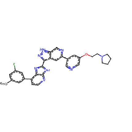 COc1cc(F)cc(-c2ccnc3[nH]c(-c4n[nH]c5cnc(-c6cncc(OCCN7CCCC7)c6)cc45)nc23)c1